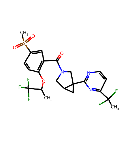 CC(Oc1ccc(S(C)(=O)=O)cc1C(=O)N1CC2CC2(c2nccc(C(C)(F)F)n2)C1)C(F)(F)F